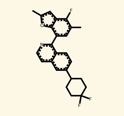 Cc1cc2c(F)c(C)cc(-c3nccc4cc(C5CCC(F)(F)CC5)ccc34)c2o1